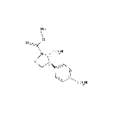 CC(C)(C)OC(=O)N1CC[C@H](c2ccc(C(=O)O)cc2)[C@H]1C(=O)O